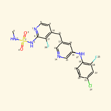 CNS(=O)(=O)Nc1nccc(Cc2cncc(Nc3ccc(Cl)cc3F)c2)c1F